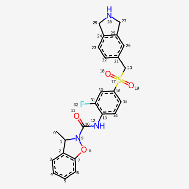 CC1c2ccccc2ON1C(=O)Nc1ccc(S(=O)(=O)Cc2ccc3c(c2)CNC3)cc1F